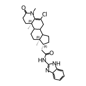 CN1C(=O)CC[C@@]2(C)C1=C(Cl)CC1C2CC[C@@]2(C)C1CC[C@@H]2CC(=O)Nc1nc2ccccc2[nH]1